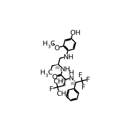 CC[C@@H](CNc1ccc(O)cc1OC)NC(=O)[C@H](CC(C)(C)F)N[C@@H](c1ccccc1)C(F)(F)F